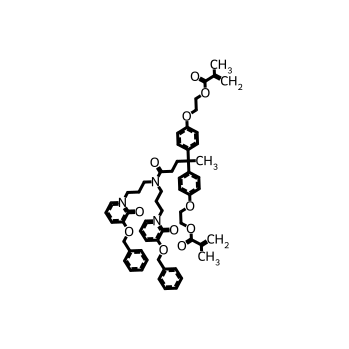 C=C(C)C(=O)OCCOc1ccc(C(C)(CCC(=O)N(CCCn2cccc(OCc3ccccc3)c2=O)CCCn2cccc(OCc3ccccc3)c2=O)c2ccc(OCCOC(=O)C(=C)C)cc2)cc1